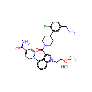 COCCn1cc(C(=O)N2CCC(c3cc(CN)ccc3F)CC2)c2c(N3C=CC(C(N)=O)=CC3)cccc21.Cl